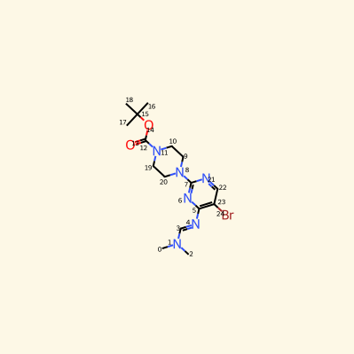 CN(C)/C=N/c1nc(N2CCN(C(=O)OC(C)(C)C)CC2)ncc1Br